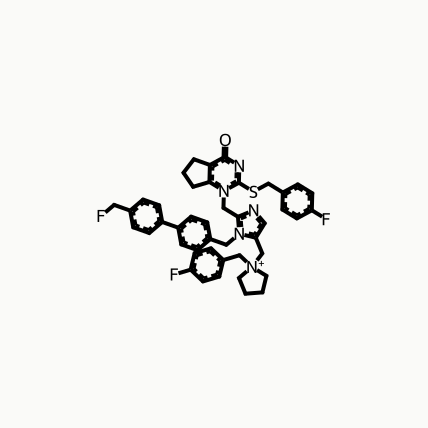 O=c1nc(SCc2ccc(F)cc2)n(Cc2ncc(C[N+]3(Cc4ccc(F)cc4)CCCC3)n2Cc2ccc(-c3ccc(CF)cc3)cc2)c2c1CCC2